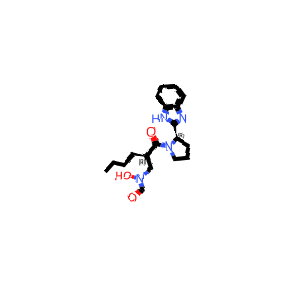 CCCC[C@H](CN(O)C=O)C(=O)N1CCC[C@@H]1c1nc2ccccc2[nH]1